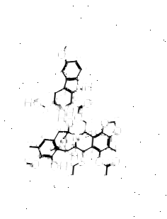 CCS[C@@H]1c2c(OC(C)=O)c(C)c3c(c2[C@H](COC(=O)[C@@H]2N[C@H](CO)Cc4c2[nH]c2ccc(OC)cc42)N2[C@@H]1C1c4c(cc(C)c(OC)c4O)CC2(O)CN1C)OCO3